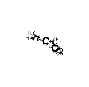 C/C(C=N)=C/NC1CCN(C(C)c2ccc3c(c2)OCO3)CC1